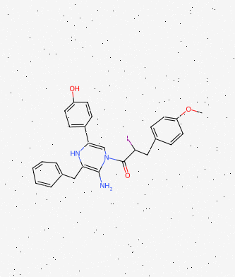 COc1ccc(CC(I)C(=O)N2C=C(c3ccc(O)cc3)NC(Cc3ccccc3)=C2N)cc1